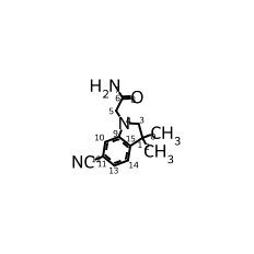 CC1(C)CN(CC(N)=O)c2cc(C#N)ccc21